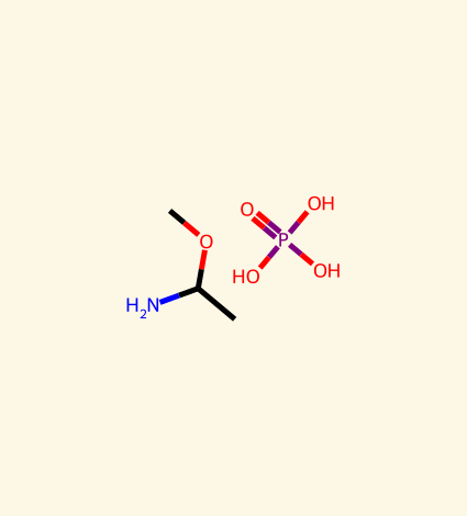 COC(C)N.O=P(O)(O)O